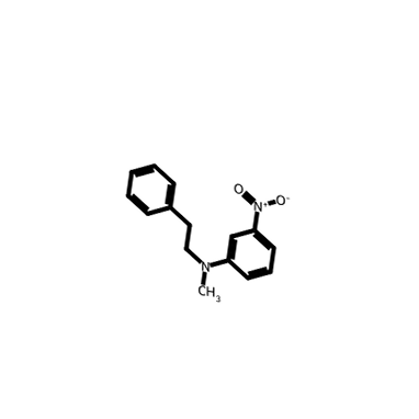 CN(CCc1ccccc1)c1cccc([N+](=O)[O-])c1